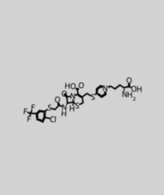 N[C@@H](CCC[n+]1ccc(SCC2=C(C(=O)O)N3C(=O)[C@H](NC(=O)CSc4cc(C(F)(F)F)ccc4Cl)[C@H]3SC2)cc1)C(=O)O